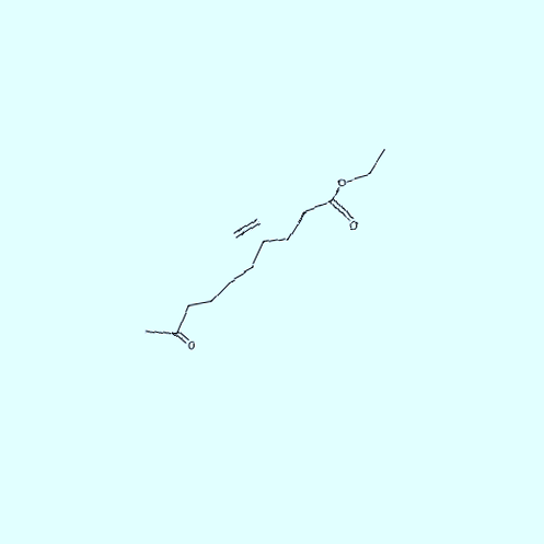 C=C.CCOC(=O)CCCCCCCC(C)=O